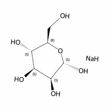 OC[C@H]1O[C@H](O)[C@@H](O)[C@@H](O)[C@@H]1O.[NaH]